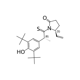 C=C[C@@H]1CCC(=O)N1C(=S)[C@H](C)c1cc(C(C)(C)C)c(O)c(C(C)(C)C)c1